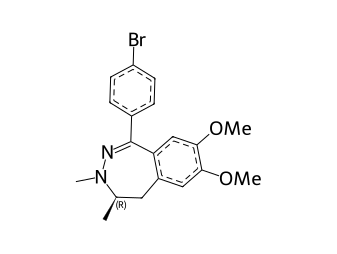 COc1cc2c(cc1OC)C(c1ccc(Br)cc1)=NN(C)[C@H](C)C2